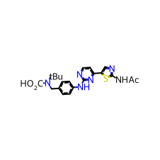 CC(=O)Nc1ncc(-c2ccnc(Nc3ccc(CN(C(=O)O)C(C)(C)C)cc3)n2)s1